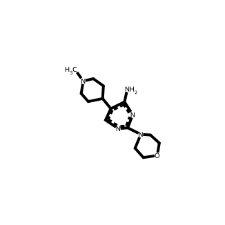 CN1CCC(c2cnc(N3CCOCC3)nc2N)CC1